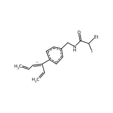 C=C/C=C(\C=C)c1ccc(CNC(=O)C(I)CC)cc1